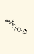 CC(C)(C)OC(=O)N1CCC(F)(c2ccc(-c3ncccn3)cc2)CC1